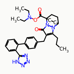 CCCc1c(Cc2ccc(-c3ccccc3-c3nnn[nH]3)cc2)c(=O)n2n1C1CCC2(C(=O)ON(CC)CC)CC1